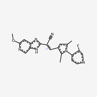 COc1cc2nc(/C(C#N)=C/c3cc(C)n(-c4ccncc4F)c3C)[nH]c2cn1